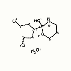 O.O[P]1(N(CCCl)CCCl)NCCCO1